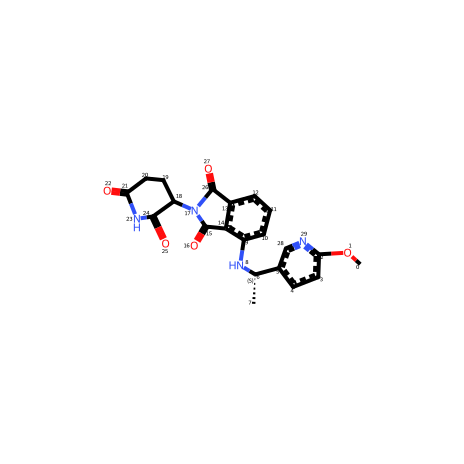 COc1ccc([C@H](C)Nc2cccc3c2C(=O)N(C2CCC(=O)NC2=O)C3=O)cn1